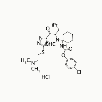 CC(C)CC(C(=O)c1nnc(SCCN(C)C)o1)N(C=O)C1(NC(=O)Oc2ccc(Cl)cc2)CCCCC1.Cl